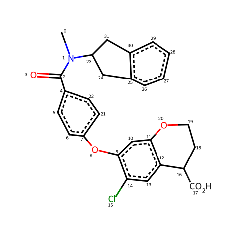 CN(C(=O)c1ccc(Oc2cc3c(cc2Cl)C(C(=O)O)CCO3)cc1)C1Cc2ccccc2C1